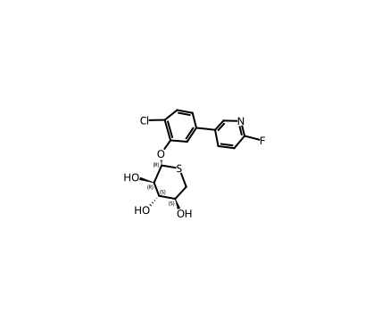 O[C@@H]1[C@@H](O)[C@H](Oc2cc(-c3ccc(F)nc3)ccc2Cl)SC[C@H]1O